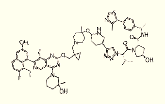 CCc1c(F)ccc2cc(O)cc(-c3ncc4c(N5CCC[C@@](C)(O)C5)nc(OCC5(CN6CCC(C)(OC7CCC(c8cn([C@H](C(=O)N9C[C@H](O)C[C@H]9C(=O)N[C@@H](C)c9ccc(-c%10scnc%10C)cc9)C(C)C)nn8)CN7)CC6)CC5)nc4c3F)c12